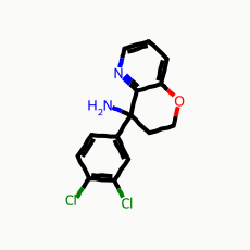 NC1(c2ccc(Cl)c(Cl)c2)CCOc2cccnc21